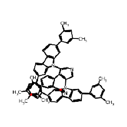 Cc1cc(C)cc(-c2ccc3c4ccc(-c5cc(C)cc(C)c5)cc4n(-c4cncc(-n5c6cc(-c7cc(C)cc(C)c7)ccc6c6ccc(-c7cc(C)cc(C)c7)cc65)c4-c4ccccc4C#N)c3c2)c1